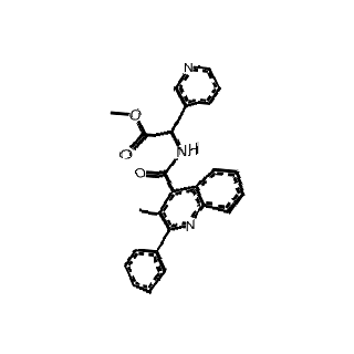 COC(=O)C(NC(=O)c1c(C)c(-c2ccccc2)nc2ccccc12)c1cccnc1